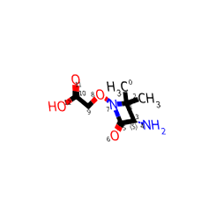 CC1(C)[C@H](N)C(=O)N1OCC(=O)O